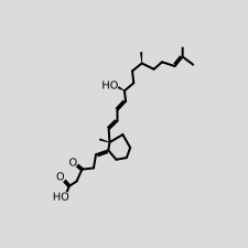 CC(C)=CCC[C@H](C)CC[C@H](O)C=CC=C[C@]1(C)CCCCC1=CCC(=O)CC(=O)O